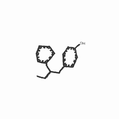 CCC(Cc1ccc(O)cc1)c1ccccc1